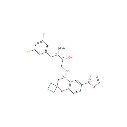 CC(=O)N[C@@H](Cc1cc(F)cc(F)c1)[C@H](O)CN[C@H]1CC2(CCC2)Oc2ccc(-c3ncco3)cc21